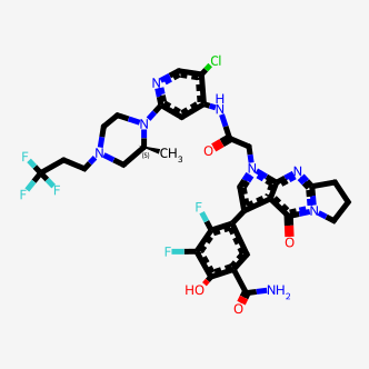 C[C@H]1CN(CCC(F)(F)F)CCN1c1cc(NC(=O)Cn2cc(-c3cc(C(N)=O)c(O)c(F)c3F)c3c(=O)n4c(nc32)CCC4)c(Cl)cn1